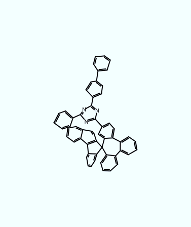 c1ccc(-c2ccc(-c3nc(-c4ccccc4)nc(-c4ccc5c(c4)C4(c6ccccc6-c6ccccc6-5)c5ccccc5-c5c4ccc4ccccc54)n3)cc2)cc1